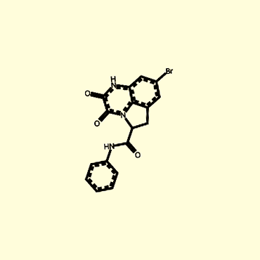 O=C(Nc1ccccc1)C1Cc2cc(Br)cc3[nH]c(=O)c(=O)n1c23